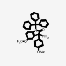 COc1ccc(C2(N)C(=O)N(C(c3ccccc3)(c3ccccc3)c3ccccc3)c3ccc(OC(F)(F)F)cc32)cc1